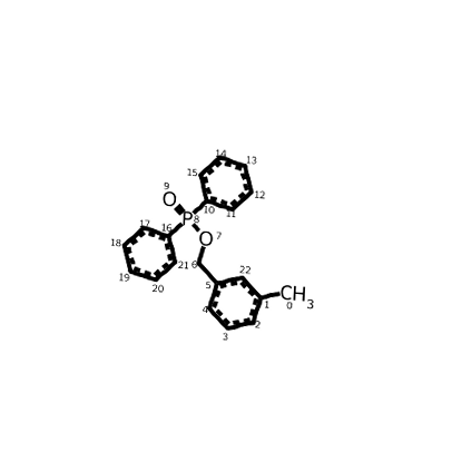 Cc1cccc(COP(=O)(c2ccccc2)c2ccccc2)c1